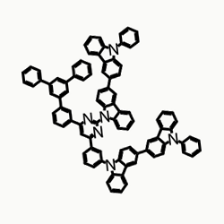 c1ccc(-c2cc(-c3ccccc3)cc(-c3cccc(-c4cc(-c5cccc(-n6c7ccccc7c7cc(-c8ccc9c(c8)c8ccccc8n9-c8ccccc8)ccc76)c5)nc(-n5c6ccccc6c6cc(-c7ccc8c(c7)c7ccccc7n8-c7ccccc7)ccc65)n4)c3)c2)cc1